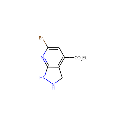 CCOC(=O)c1cc(Br)nc2c1CNN2